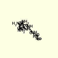 NC(=O)CN1CCN(CC(N)=O)CCN(CC(N)=O)C(Cc2ccc(NC(=S)CCCCCC(=O)NCc3ccc(C(=O)NCc4nccc5ccccc45)cc3)cc2)CN(CC(N)=O)CC1